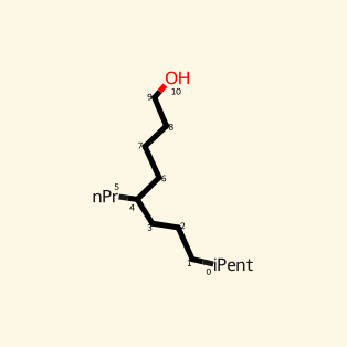 CCCC(C)CCCC(CCC)CCCCO